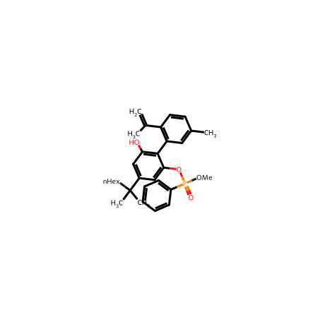 C=C(C)c1ccc(C)cc1-c1c(O)cc(C(C)(C)CCCCCC)cc1OP(=O)(OC)c1ccccc1